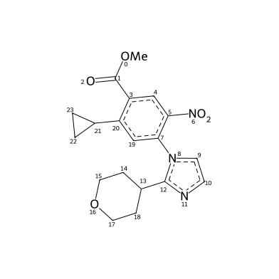 COC(=O)c1cc([N+](=O)[O-])c(-n2ccnc2C2CCOCC2)cc1C1CC1